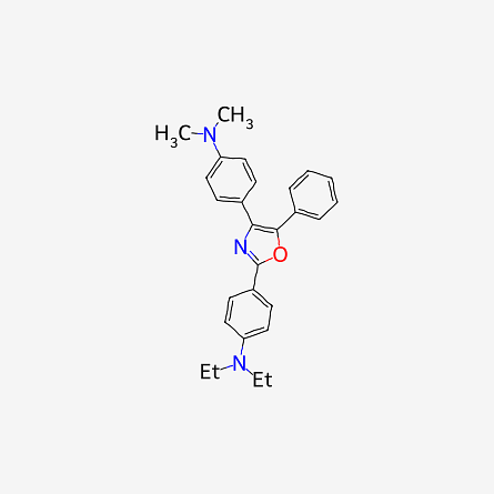 CCN(CC)c1ccc(-c2nc(-c3ccc(N(C)C)cc3)c(-c3ccccc3)o2)cc1